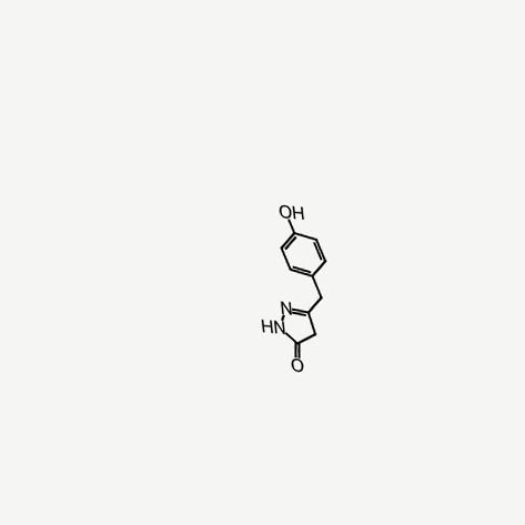 O=C1CC(Cc2ccc(O)cc2)=NN1